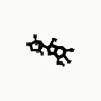 CC(C)n1c(N2C[C@H]3C[C@@H]2CN3)nc2c([N+](=O)[O-])c(Br)c(Br)cc21